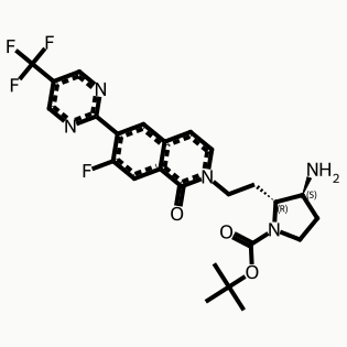 CC(C)(C)OC(=O)N1CC[C@H](N)[C@H]1CCn1ccc2cc(-c3ncc(C(F)(F)F)cn3)c(F)cc2c1=O